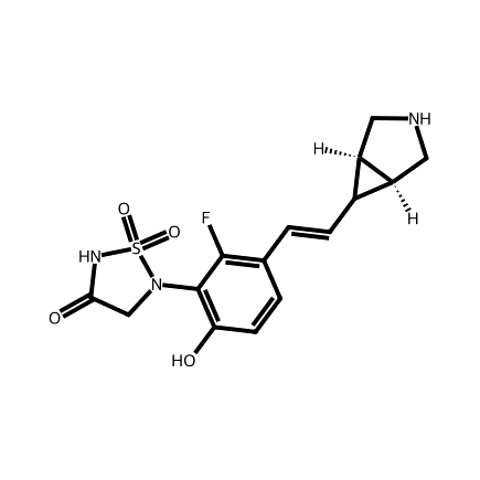 O=C1CN(c2c(O)ccc(/C=C/C3[C@H]4CNC[C@@H]34)c2F)S(=O)(=O)N1